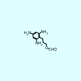 Nc1cc(N)c(CCCOC=O)c(N)c1